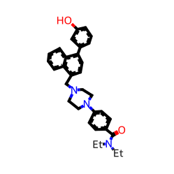 CCN(CC)C(=O)c1ccc(N2CCN(Cc3ccc(-c4cccc(O)c4)c4ccccc34)CC2)cc1